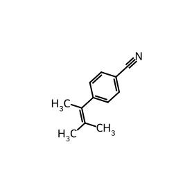 CC(C)=C(C)c1ccc(C#N)cc1